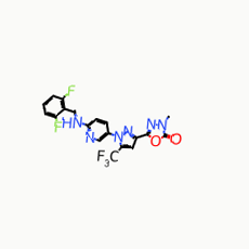 Cn1nc(-c2cc(C(F)(F)F)n(-c3ccc(NCc4c(F)cccc4F)nc3)n2)oc1=O